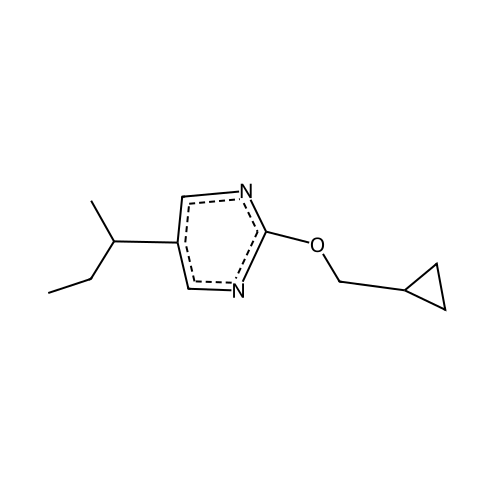 CCC(C)c1cnc(OCC2CC2)nc1